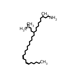 CCCCC/C=C\C/C=C\CCCCCCCCCC(CCCCCCC(C)CCN)CCN(C)C